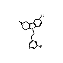 CCc1ccc2c(c1)c1c(n2CCc2cncc(F)c2)CCN(C)C1